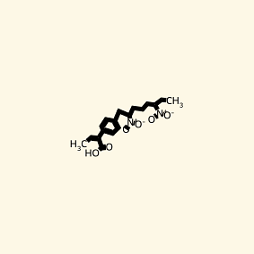 CC=C(C(=O)O)c1ccc(CC(CCCC(CC)[N+](=O)[O-])[N+](=O)[O-])cc1